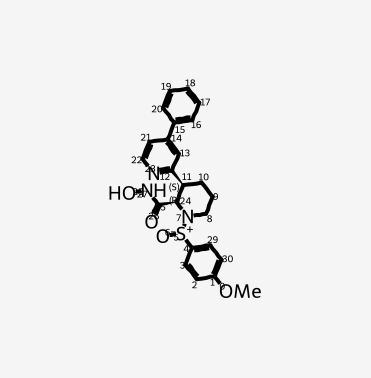 COc1ccc([S+]([O-])N2CCC[C@H](c3cc(-c4ccccc4)ccn3)[C@@H]2C(=O)NO)cc1